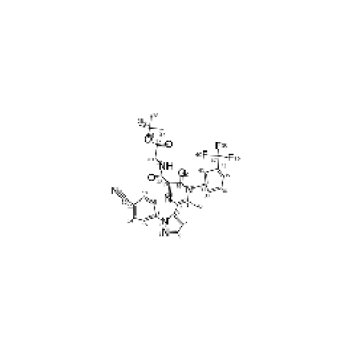 Cc1c(-c2ccnn2-c2ccc(C#N)cc2)nc(C(=O)NCC(=O)OC(C)(C)C)c(=O)n1-c1cccc(C(F)(F)F)c1